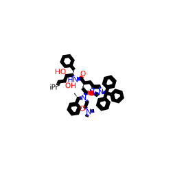 CC(C)C[C@H](O)[C@H](O)[C@H](CC1CCCCC1)NC(=O)[C@@H](CC(=O)N(CC(=O)N(C)C)[C@@H](C)c1ccccc1)Cc1cn(C(c2ccccc2)(c2ccccc2)c2ccccc2)cn1